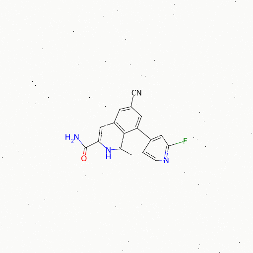 CC1NC(C(N)=O)=Cc2cc(C#N)cc(-c3ccnc(F)c3)c21